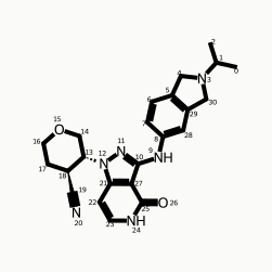 CC(C)N1Cc2ccc(Nc3nn([C@H]4COCC[C@@H]4C#N)c4cc[nH]c(=O)c34)cc2C1